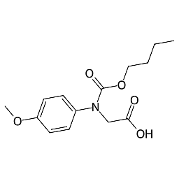 CCCCOC(=O)N(CC(=O)O)c1ccc(OC)cc1